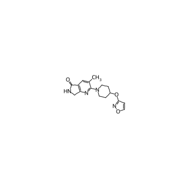 Cc1cc2c(nc1N1CCC(Oc3ccon3)CC1)CNC2=O